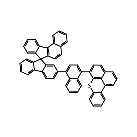 c1ccc2c(c1)Sc1c(-c3ccc(-c4ccc5c(c4)C4(c6ccccc6-5)c5ccccc5-c5c4ccc4ccccc54)c4ccccc34)ccc3cccc-2c13